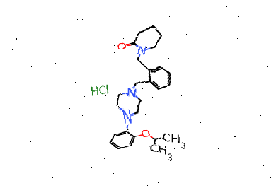 CC(C)Oc1ccccc1N1CCN(Cc2ccccc2CN2CCCCC2=O)CC1.Cl